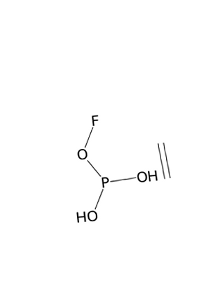 C=C.OP(O)OF